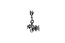 Cc1cc(C#Cc2ccc(Sc3ccncc3C3NC(=O)NC3=O)cc2)ccn1